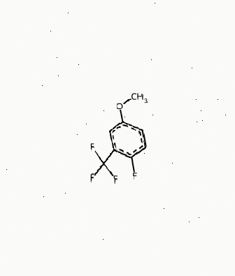 COc1ccc(F)c(C(F)(F)F)c1